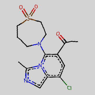 CC(=O)c1cc(Cl)c2cnc(C)n2c1N1CCCS(=O)(=O)CC1